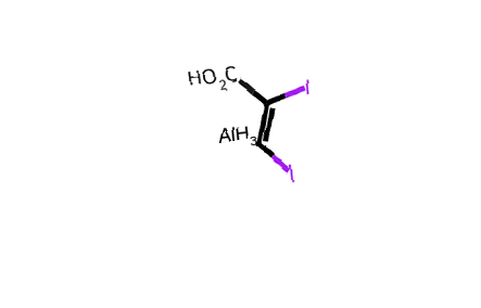 O=C(O)C(I)=CI.[AlH3]